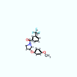 COc1ccc(O[C@@H]2CCN(C(=O)c3cccc(C(F)(F)F)c3)C2)cc1